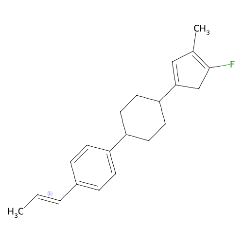 C/C=C/c1ccc(C2CCC(C3=CC(C)=C(F)C3)CC2)cc1